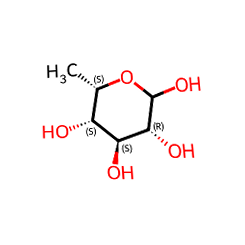 C[C@@H]1OC(O)[C@H](O)[C@@H](O)[C@@H]1O